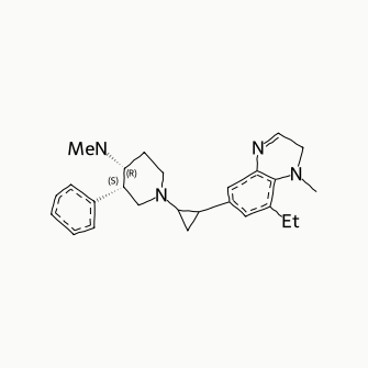 CCc1cc(C2CC2N2CC[C@@H](NC)[C@@H](c3ccccc3)C2)cc2c1N(C)CC=N2